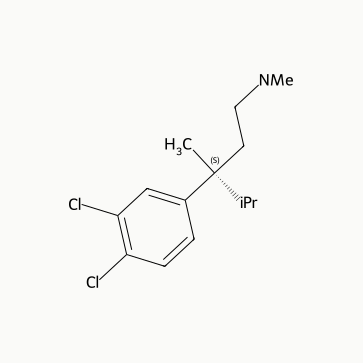 CNCC[C@](C)(c1ccc(Cl)c(Cl)c1)C(C)C